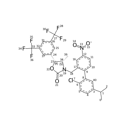 CC(C)c1ccc(Cl)c(-c2ccc([N+](=O)[O-])cc2CN2C(=O)O[C@H](c3cc(C(F)(F)F)cc(C(F)(F)F)c3)[C@@H]2C)c1